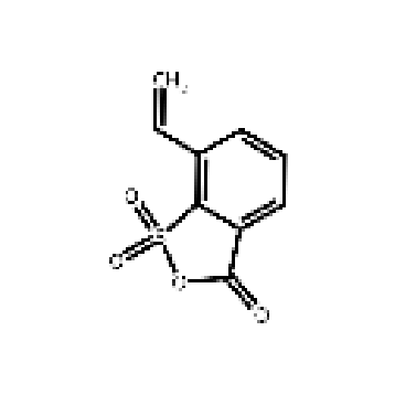 C=Cc1cccc2c1S(=O)(=O)OC2=O